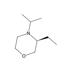 CC[C@H]1COCCN1C(C)C